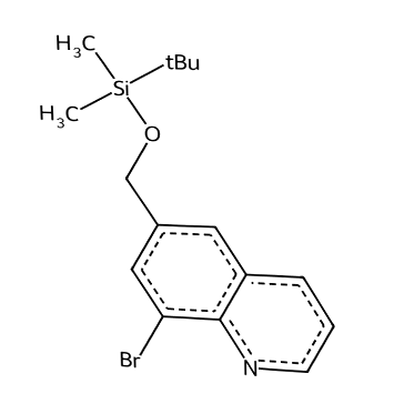 CC(C)(C)[Si](C)(C)OCc1cc(Br)c2ncccc2c1